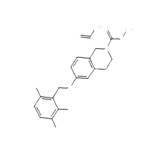 COC(=O)[C@H]1c2ccc(OCc3c(F)ccc(F)c3F)cc2CCN1C(=O)OC(C)(C)C